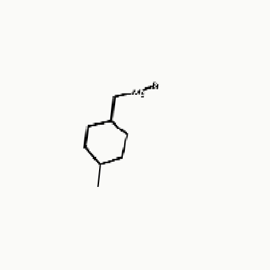 CC1CCC([CH2][Mg][Br])CC1